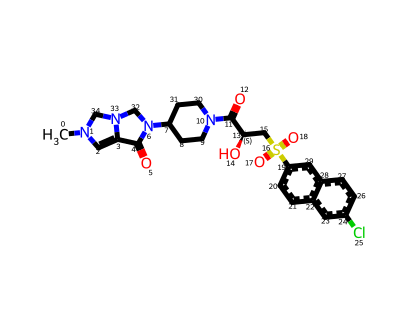 CN1C=C2C(=O)N(C3CCN(C(=O)[C@H](O)CS(=O)(=O)c4ccc5cc(Cl)ccc5c4)CC3)CN2C1